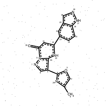 Cc1coc(-c2cnn3c(=O)cc(-c4ccc5[nH]ncc5c4)[nH]c23)n1